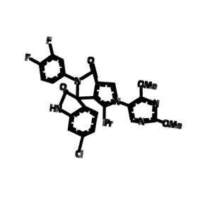 COc1ncc(-n2cc3c(c2C(C)C)C2(C(=O)Nc4cc(Cl)ccc42)N(c2ccc(F)c(F)c2)C3=O)c(OC)n1